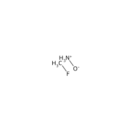 CF.[NH3+][O-]